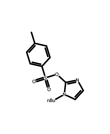 CCCCn1ccnc1OS(=O)(=O)c1ccc(C)cc1